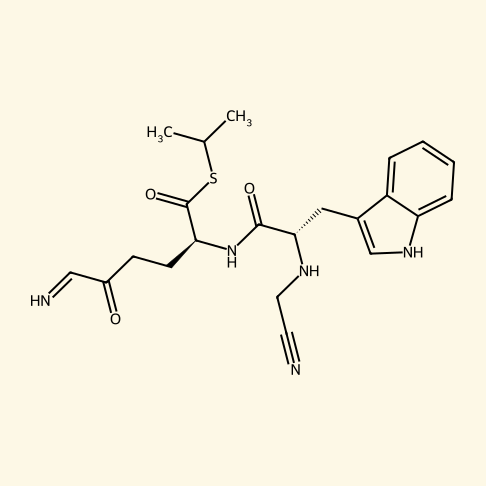 CC(C)SC(=O)[C@H](CCC(=O)C=N)NC(=O)[C@H](Cc1c[nH]c2ccccc12)NCC#N